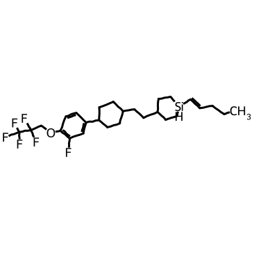 CCCC=C[SiH]1CCC(CCC2CCC(c3ccc(OCC(F)(F)C(F)(F)F)c(F)c3)CC2)CC1